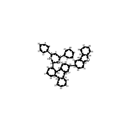 c1ccc(-c2cc(-c3ccccc3)nc(-c3cccc4c5ccccc5c5cc(-c6ccc7oc8ccccc8c7c6)ccc5c34)n2)cc1